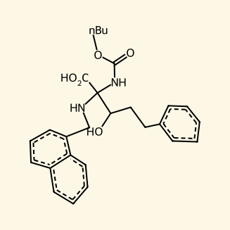 CCCCOC(=O)NC(NCc1cccc2ccccc12)(C(=O)O)C(O)CCc1ccccc1